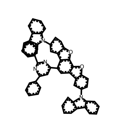 c1ccc(-c2cc(-c3cc4c5cc(-n6c7ccccc7c7ccccc76)ccc5oc4c4oc5ccc(-n6c7ccccc7c7ccccc76)cc5c34)nc(-c3ccccc3)n2)cc1